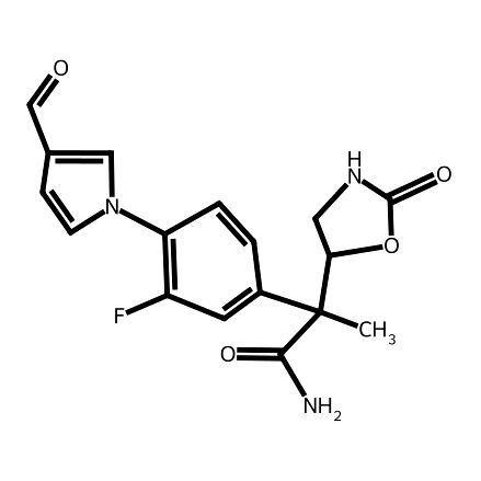 CC(C(N)=O)(c1ccc(-n2ccc(C=O)c2)c(F)c1)C1CNC(=O)O1